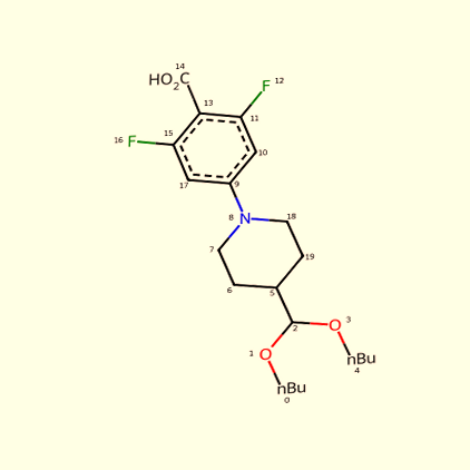 CCCCOC(OCCCC)C1CCN(c2cc(F)c(C(=O)O)c(F)c2)CC1